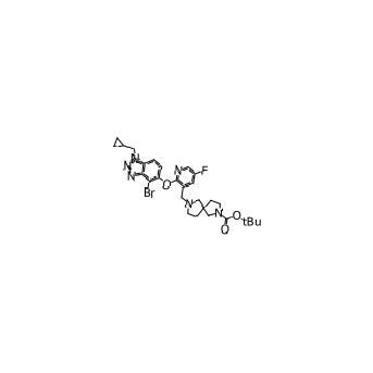 CC(C)(C)OC(=O)N1CCC2(CCN(Cc3cc(F)cnc3Oc3ccc4c(nnn4CC4CC4)c3Br)C2)C1